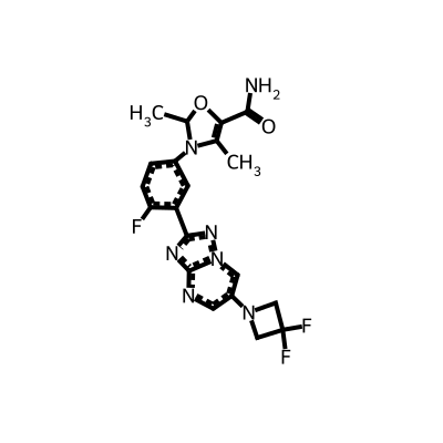 CC1=C(C(N)=O)OC(C)N1c1ccc(F)c(-c2nc3ncc(N4CC(F)(F)C4)cn3n2)c1